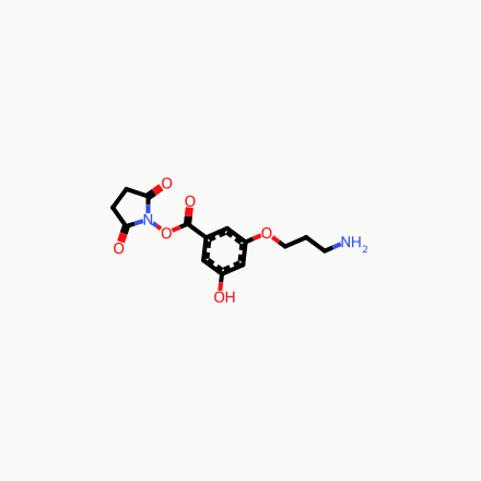 NCCCOc1cc(O)cc(C(=O)ON2C(=O)CCC2=O)c1